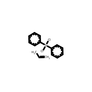 C=CC.Cl[Si](Cl)(c1ccccc1)c1ccccc1